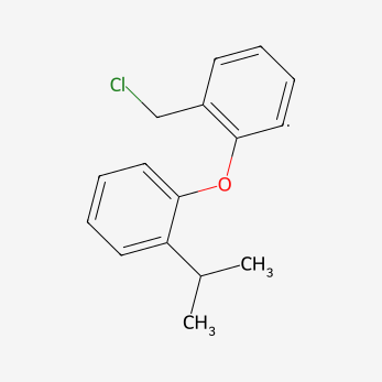 CC(C)c1ccccc1Oc1[c]cccc1CCl